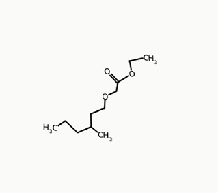 CCCC(C)CCOCC(=O)OCC